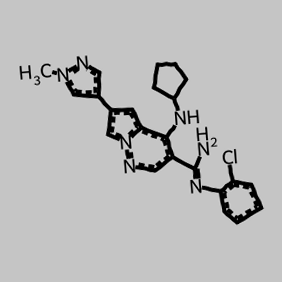 Cn1cc(-c2cc3c(NC4CCCC4)c(/C(N)=N/c4ccccc4Cl)cnn3c2)cn1